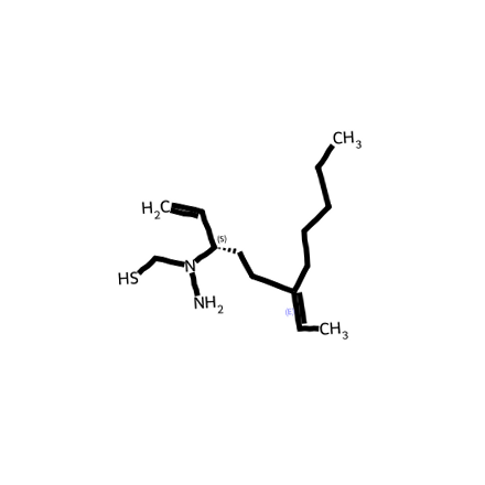 C=C[C@H](CC/C(=C/C)CCCCC)N(N)CS